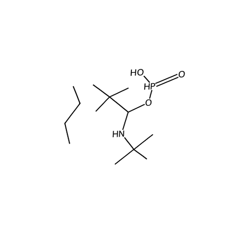 CC(C)(C)NC(O[PH](=O)O)C(C)(C)C.CCCC